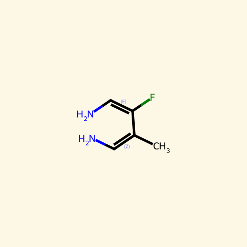 CC(=C/N)/C(F)=C\N